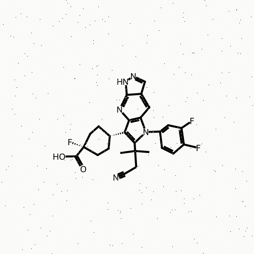 CC(C)(CC#N)c1c([C@H]2CC[C@](F)(C(=O)O)CC2)c2nc3[nH]ncc3cc2n1-c1ccc(F)c(F)c1